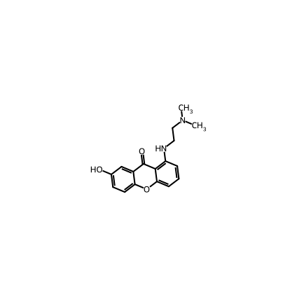 CN(C)CCNc1cccc2oc3ccc(O)cc3c(=O)c12